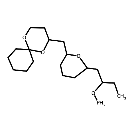 CCC(CC1CCCC(CC2CCOC3(CCCCC3)O2)O1)OP